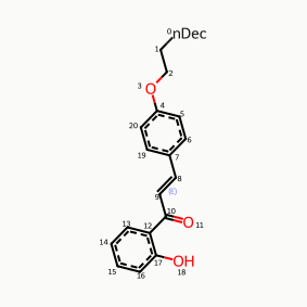 CCCCCCCCCCCCOc1ccc(/C=C/C(=O)c2ccccc2O)cc1